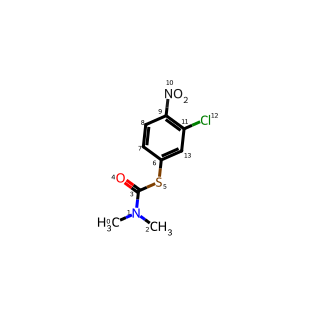 CN(C)C(=O)Sc1ccc([N+](=O)[O-])c(Cl)c1